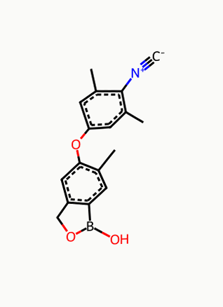 [C-]#[N+]c1c(C)cc(Oc2cc3c(cc2C)B(O)OC3)cc1C